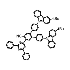 CC(C)(C)c1ccc2c(c1)c1ccccc1n2-c1ccc(-c2cc(C#N)c(-c3nc(-c4ccccc4)nc(-c4ccccc4)n3)cc2-c2ccc(-n3c4ccccc4c4cc(C(C)(C)C)ccc43)cc2)cc1